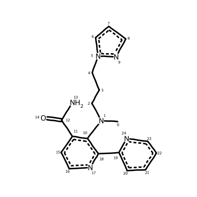 CN(CCCn1cccn1)c1c(C(N)=O)ccnc1-c1ccccn1